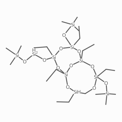 CC[SiH]1CO[Si](CC)(O[Si](C)(C)C)O[Si]2(CC)O[Si](CC)(O1)O[Si](CC)(O[SiH2]O[Si](C)(C)C)O[Si](CC)(O[Si](C)(C)C)O2